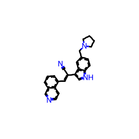 N#C/C(=C\c1cccc2cnccc12)c1c[nH]c2ccc(CN3CCCC3)cc12